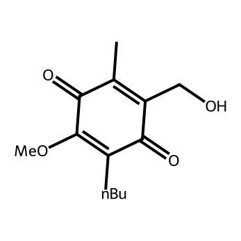 CCCCC1=C(OC)C(=O)C(C)=C(CO)C1=O